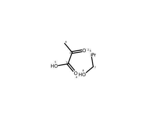 CC(=O)C(=O)O.CC(C)CO